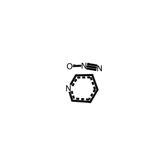 N#[N+][O-].c1ccncc1